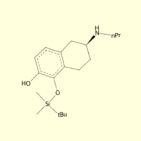 CCCN[C@H]1CCc2c(ccc(O)c2O[Si](C)(C)C(C)(C)C)C1